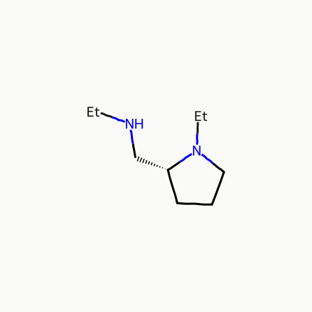 CCNC[C@H]1CCCN1CC